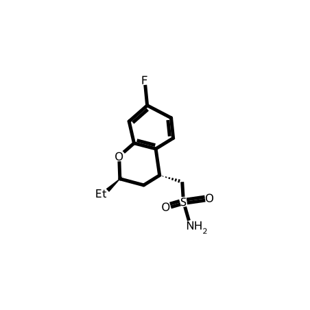 CC[C@@H]1C[C@@H](CS(N)(=O)=O)c2ccc(F)cc2O1